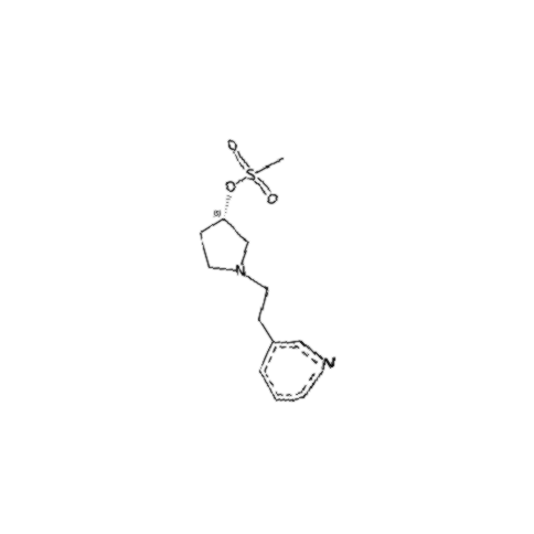 CS(=O)(=O)O[C@H]1CCN(CCc2cccnc2)C1